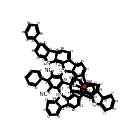 N#Cc1c(-c2ccccc2)c(C#N)c(-n2c3c(ccc4c5ccccc5sc43)c3ccc4c5cc(-c6ccccc6)ccc5sc4c32)c(-c2ccccc2)c1-n1c2ccccc2c2ccc(-c3cccc4c3oc3ccccc34)cc21